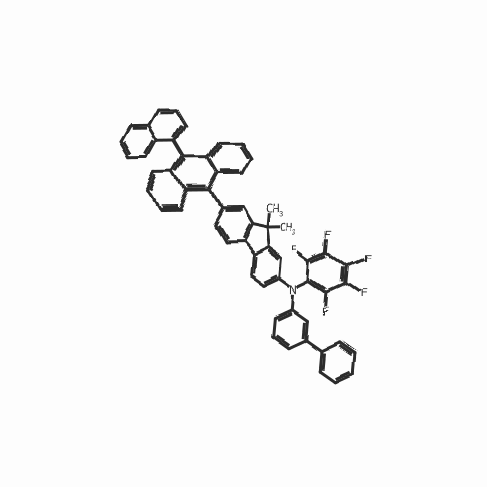 CC1(C)c2cc(-c3c4ccccc4c(-c4cccc5ccccc45)c4ccccc34)ccc2-c2ccc(N(c3cccc(-c4ccccc4)c3)c3c(F)c(F)c(F)c(F)c3F)cc21